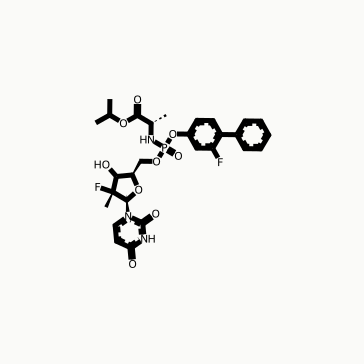 CC(C)OC(=O)[C@H](C)NP(=O)(OC[C@H]1O[C@@H](n2ccc(=O)[nH]c2=O)[C@](C)(F)C1O)Oc1ccc(-c2ccccc2)c(F)c1